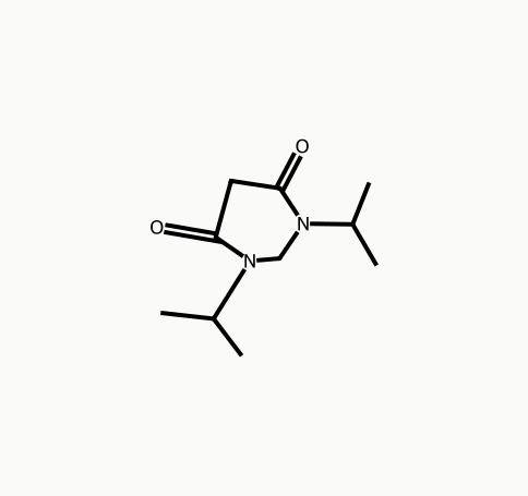 CC(C)N1CN(C(C)C)C(=O)CC1=O